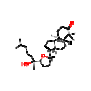 CC(C)=CCCC(C)(O)C1CC[C@@](C)([C@H]2CCC3[C@@]2(C)CC[C@H]2C(C)(C)C(=O)CC[C@]32C)O1